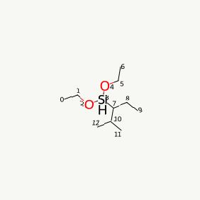 CCO[SiH](OCC)C(CC)C(C)C